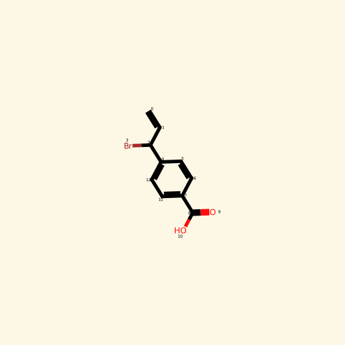 C=CC(Br)c1ccc(C(=O)O)cc1